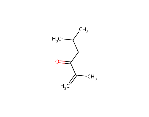 C=C(C)C(=O)CC(C)C